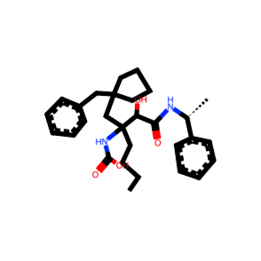 CCCCC(CC1(Cc2ccccc2)CCCC1)(NC(=O)O)C(O)C(=O)N[C@H](C)c1ccccc1